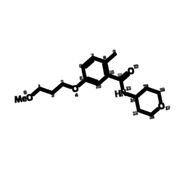 COCCCOc1ccc(C)c(C(=O)NC2CCOCC2)c1